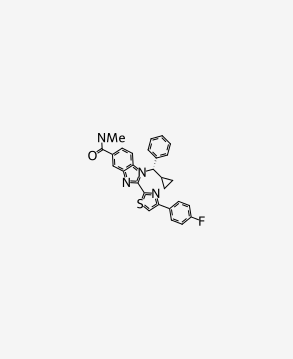 CNC(=O)c1ccc2c(c1)nc(-c1nc(-c3ccc(F)cc3)cs1)n2[C@H](c1ccccc1)C1CC1